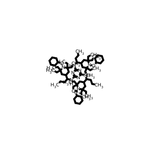 CCCC(Nc1nc(NC(CCC)C2CC(CC)(CC)N(OC3CCCCC3)C(CC)(CC)C2)nc(NC(CCC)C2CC(CC)(CC)N(OC3CCCCC3)C(CC)(CC)C2)n1)C1CC(CC)(CC)N(OC2CCCCC2)C(CC)(CC)C1